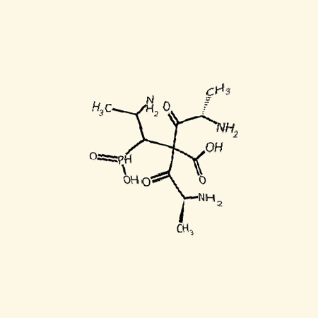 CC(N)C([PH](=O)O)C(C(=O)O)(C(=O)[C@H](C)N)C(=O)[C@H](C)N